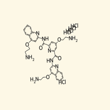 Cl.Cl.Cl.Cl.Cl.NCCOc1cc(C(=O)Nc2cc(OCCN)c3ccccc3n2)nc(C(=O)Nc2cc(OCCN)c3ccccc3n2)c1